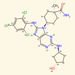 C[C@]1(C(N)=O)CC[C@@H](n2c(Nc3c(Cl)cc(Cl)cc3Cl)nc3cnc(N[C@H]4CC[C@H](O)C4)nc32)CC1